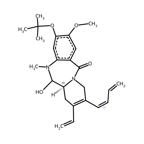 C=C/C=C\C1=C(C=C)C[C@H]2C(O)N(C)c3cc(OC(C)(C)C)c(OC)cc3C(=O)N2C1